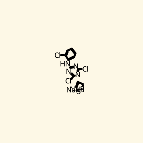 C1=CSSC1.Clc1nc(Cl)nc(Nc2ccccc2Cl)n1.[NaH].[NaH]